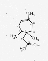 CC1=CCC(C)C(C)(CC(=O)O)C=C1